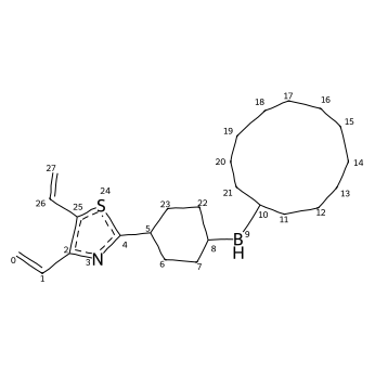 C=Cc1nc(C2CCC(BC3CCCCCCCCCCC3)CC2)sc1C=C